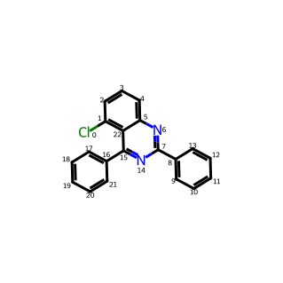 Clc1cccc2nc(-c3ccccc3)nc(-c3ccccc3)c12